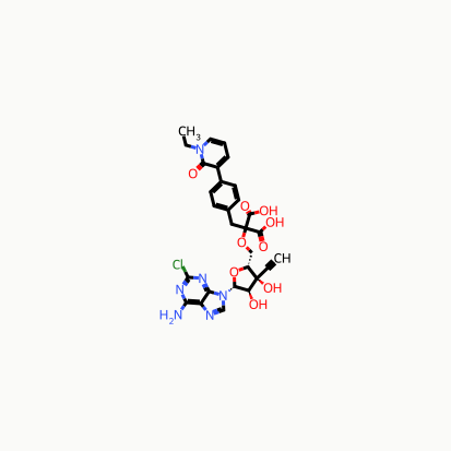 C#C[C@@]1(O)[C@@H](COC(Cc2ccc(-c3cccn(CC)c3=O)cc2)(C(=O)O)C(=O)O)O[C@@H](n2cnc3c(N)nc(Cl)nc32)[C@@H]1O